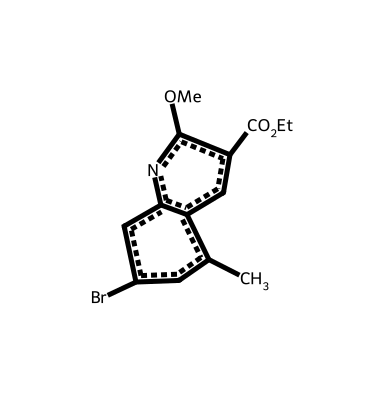 CCOC(=O)c1cc2c(C)cc(Br)cc2nc1OC